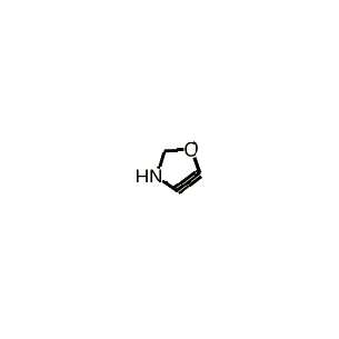 C1#COCN1